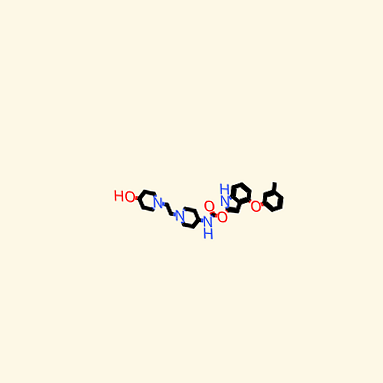 Cc1cccc(Oc2cccc3[nH]c(OC(=O)NC4CCN(CCN5CCC(O)CC5)CC4)cc23)c1